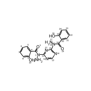 NN(C(=O)c1ccccc1O)c1ncnc(N(N)C(=O)c2ccccc2O)n1